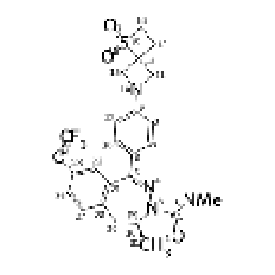 CNC(=O)N1N=C(c2ccc(N3CC4(CCS4(=O)=O)C3)cc2)c2cc(OC(F)(F)F)ccc2C[C@@H]1C